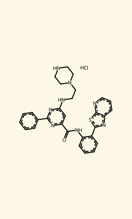 Cl.O=C(Nc1ccccc1-c1nc2cccnc2s1)c1cc(NCCN2CCNCC2)nc(-c2ccccc2)n1